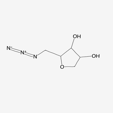 [N-]=[N+]=NCC1OCC(O)C1O